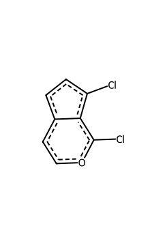 Clc1ccc2ccoc(Cl)c1-2